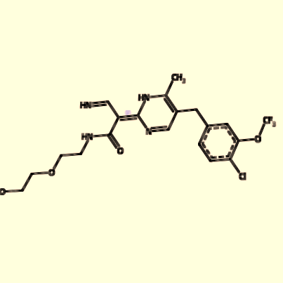 CC1=C(Cc2ccc(Cl)c(OC(F)(F)F)c2)C=N/C(=C(/C=N)C(=O)NCCOCCO)N1